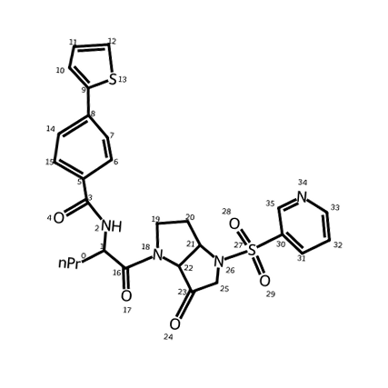 CCCC(NC(=O)c1ccc(-c2cccs2)cc1)C(=O)N1CCC2C1C(=O)CN2S(=O)(=O)c1cccnc1